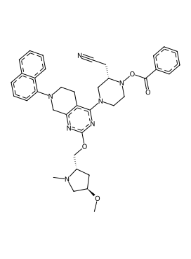 CO[C@@H]1C[C@@H](COc2nc3c(c(N4CCN(OC(=O)c5ccccc5)[C@@H](CC#N)C4)n2)CCN(c2cccc4ccccc24)C3)N(C)C1